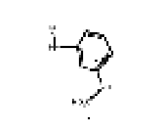 CCNc1cccc(NC(=O)O)n1